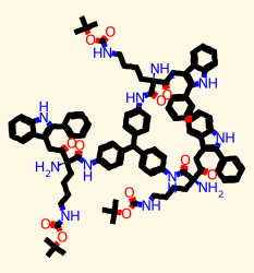 CC(C)(C)OC(=O)NCCCC[C@@](N)(C(=O)Cc1c(-c2ccccc2)[nH]c2ccccc12)C(=O)Nc1ccc(C(c2ccc(NC(=O)[C@@](N)(CCCCNC(=O)OC(C)(C)C)C(=O)Cc3c(-c4ccccc4)[nH]c4ccccc34)cc2)c2ccc(NC(=O)[C@@](N)(CCCCNC(=O)OC(C)(C)C)C(=O)Cc3c(-c4ccccc4)[nH]c4ccccc34)cc2)cc1